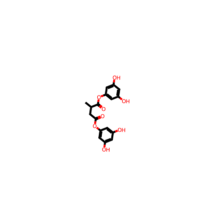 CC(CC(=O)Oc1cc(O)cc(O)c1)C(=O)Oc1cc(O)cc(O)c1